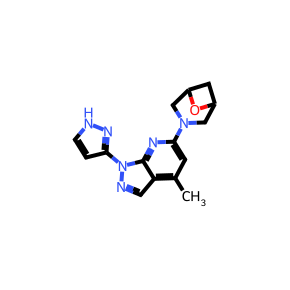 Cc1cc(N2CC3CC(C2)O3)nc2c1cnn2-c1cc[nH]n1